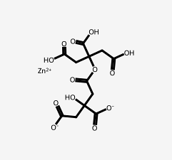 O=C([O-])CC(O)(CC(=O)OC(CC(=O)O)(CC(=O)O)C(=O)O)C(=O)[O-].[Zn+2]